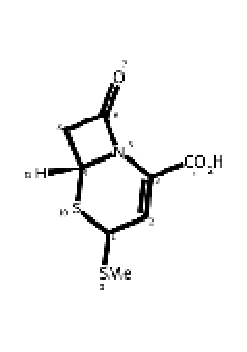 CSC1C=C(C(=O)O)N2C(=O)C[C@H]2S1